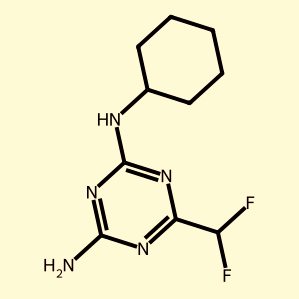 Nc1nc(NC2CCCCC2)nc(C(F)F)n1